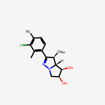 CO[C@@H]1C(c2ccc(C#N)c(Cl)c2C)=NN2C[C@H](O)[C@H](O)[C@@H]12